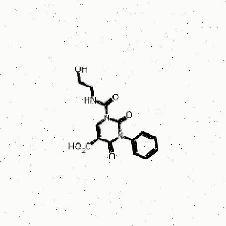 O=C(O)c1cn(C(=O)NCCO)c(=O)n(-c2ccccc2)c1=O